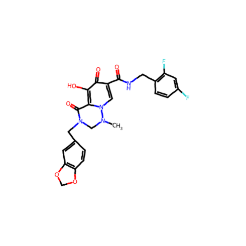 CN1CN(Cc2ccc3c(c2)OCO3)C(=O)c2c(O)c(=O)c(C(=O)NCc3ccc(F)cc3F)cn21